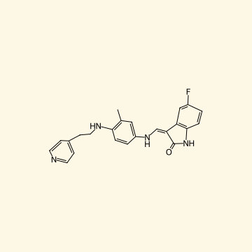 Cc1cc(NC=C2C(=O)Nc3ccc(F)cc32)ccc1NCCc1ccncc1